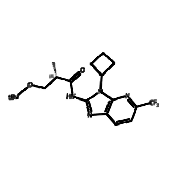 C[C@@H](COC(C)(C)C)C(=O)Nc1nc2ccc(C(F)(F)F)nc2n1C1CCC1